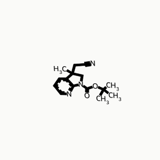 CC(C)(C)OC(=O)N1CC(C)(CC#N)c2cccnc21